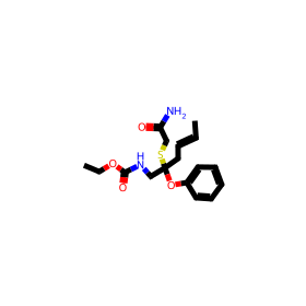 CC=CCC(CNC(=O)OCC)(Oc1ccccc1)SCC(N)=O